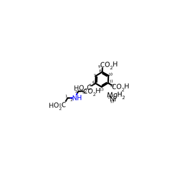 O=C(O)CNCC(=O)O.O=C(O)c1cc(C(=O)O)cc(C(=O)O)c1.[MgH2].[Ni]